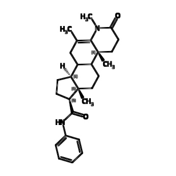 CC1=C2N(C)C(=O)CC[C@]2(C)C2CC[C@]3(C)[C@@H](C(=O)Nc4ccccc4)CC[C@H]3C2C1